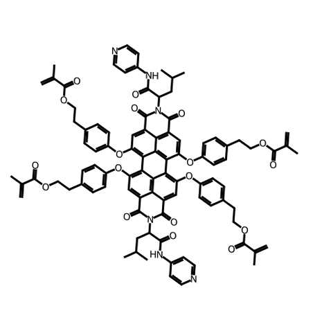 C=C(C)C(=O)OCCc1ccc(Oc2cc3c4c(cc(Oc5ccc(CCOC(=O)C(=C)C)cc5)c5c6c(Oc7ccc(CCOC(=O)C(=C)C)cc7)cc7c8c(cc(Oc9ccc(CCOC(=O)C(=C)C)cc9)c(c2c45)c86)C(=O)N(C(CC(C)C)C(=O)Nc2ccncc2)C7=O)C(=O)N(C(CC(C)C)C(=O)Nc2ccncc2)C3=O)cc1